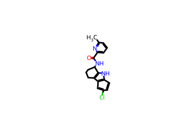 Cc1cccc(C(=O)NC2CCCc3c2[nH]c2ccc(Cl)cc32)n1